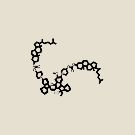 CCC1(O)c2ccccc2-c2c1c1c(c3cc(OC)c(N4CCC(OC(=O)OC5CCC6(C)C(=CCC7C6CCC6(C)C(C(C)CCCC(C)C)CCC76)C5)CC4)cc23)OC(c2ccccc2)(c2ccc(N3CCC(OC(=O)OC4CCC5(C)C(=CCC6C5CCC5(C)C(C(C)CCCC(C)C)CCC65)C4)CC3)cc2)C=C1